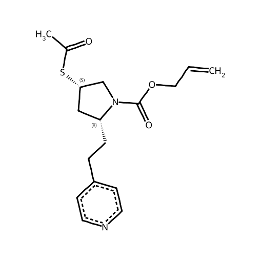 C=CCOC(=O)N1C[C@@H](SC(C)=O)C[C@H]1CCc1ccncc1